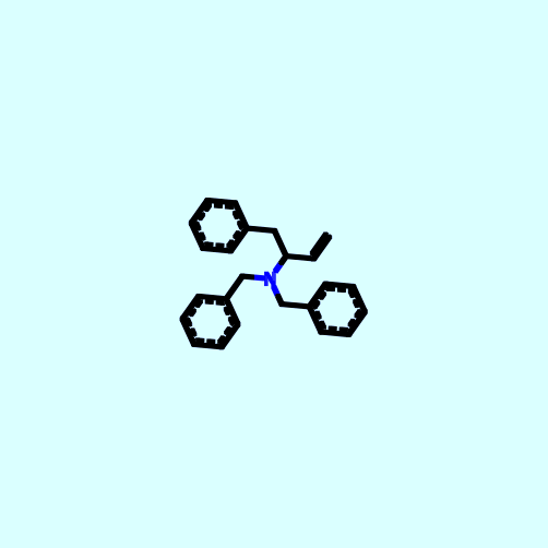 C=CC(Cc1ccccc1)N(Cc1ccccc1)Cc1ccccc1